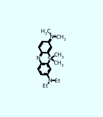 CCN(CC)c1ccc2c(c1)[Si](C)(C)C1=CC(=[N+](C)C)C=CC1=N2